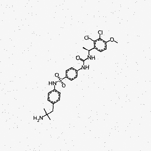 COc1ccc([C@H](C)NC(=O)Nc2ccc(S(=O)(=O)Nc3ccc(CC(C)(C)N)cc3)cc2)c(Cl)c1Cl